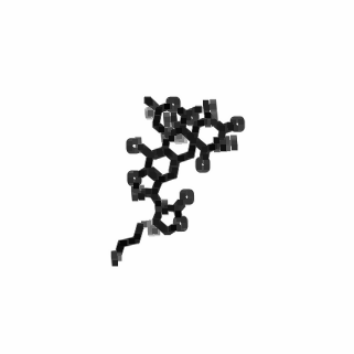 C[C@@H]1CN2c3c(cc4c(N5C(=O)OC[C@@H]5CCCF)noc4c3Cl)CC3(C(=O)NC(=O)NC3=O)[C@H]2[C@H](C)O1